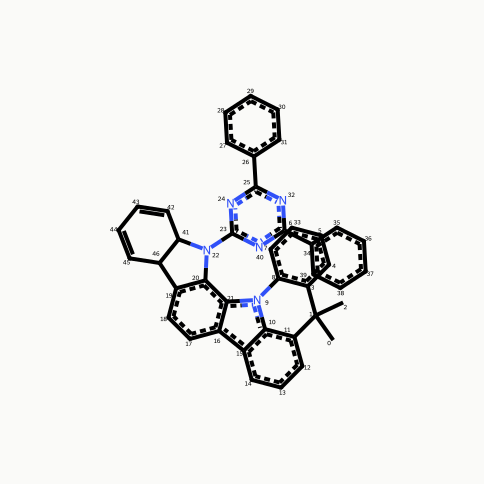 CC1(C)c2ccccc2-n2c3c1cccc3c1ccc3c(c12)N(c1nc(-c2ccccc2)nc(-c2ccccc2)n1)C1C=CC=CC31